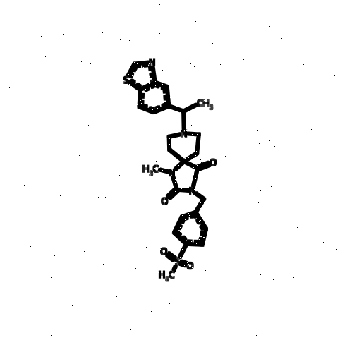 CC(c1ccc2scnc2c1)N1CCC2(CC1)C(=O)N(Cc1ccc(S(C)(=O)=O)cc1)C(=O)N2C